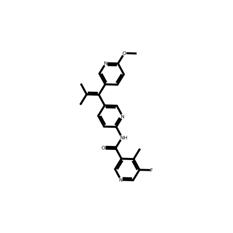 COc1ccc(C(=C(C)C)c2ccc(NC(=O)c3cncc(F)c3C)nc2)cn1